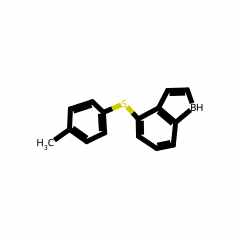 Cc1ccc(Sc2cccc3c2C=CB3)cc1